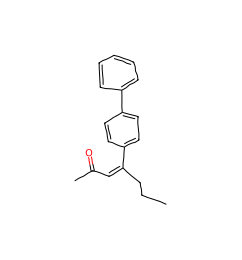 CCC/C(=C/C(C)=O)c1ccc(-c2ccccc2)cc1